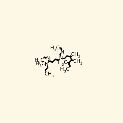 C=C(CCN(/C=C/C=C(\N=C/C)N(C)CCC)C/N=C\C)C(=C)/C(C)=C/C